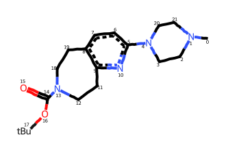 CN1CCN(c2ccc3c(n2)CCN(C(=O)OC(C)(C)C)CC3)CC1